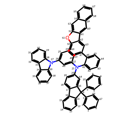 c1ccc(C2(c3ccccc3)c3ccccc3-c3ccc(N(c4cccc(-n5c6ccccc6c6ccccc65)c4)c4ccccc4-c4ccc5oc6cc7ccccc7cc6c5c4)cc32)cc1